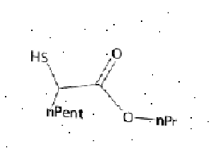 CCCCCC(S)C(=O)OCCC